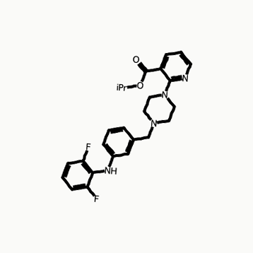 CC(C)OC(=O)c1cccnc1N1CCN(Cc2cccc(Nc3c(F)cccc3F)c2)CC1